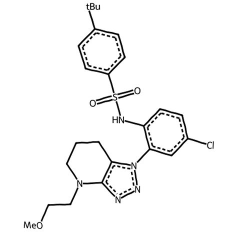 COCCN1CCCc2c1nnn2-c1cc(Cl)ccc1NS(=O)(=O)c1ccc(C(C)(C)C)cc1